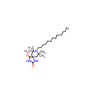 CC(=O)CCCCCCCCCCCCN1C(C)(C)CC2(CC1(C)C)NC(=O)NC2=O